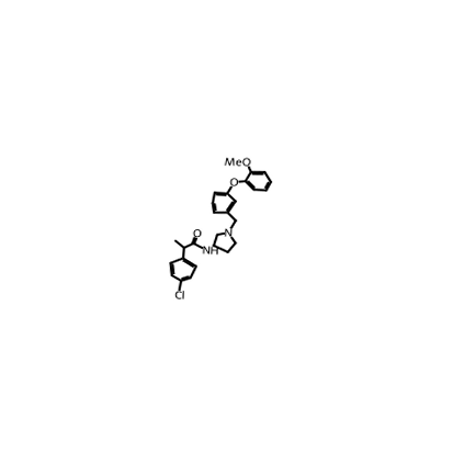 COc1ccccc1Oc1cccc(CN2CC[C@H](NC(=O)C(C)c3ccc(Cl)cc3)C2)c1